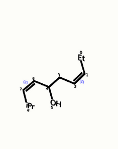 CC/C=C\CC(O)/C=C\C(C)C